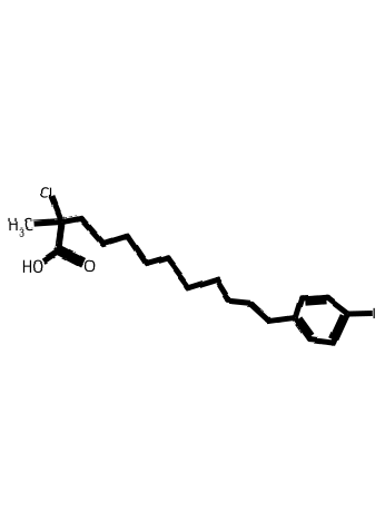 CC(Cl)(CCCCCCCCCCc1ccc(I)cc1)C(=O)O